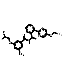 CC(NC(=O)c1cc(OCC(F)F)cc(C(F)(F)F)c1)c1nccnc1-c1ncc(OCC(F)(F)F)cn1